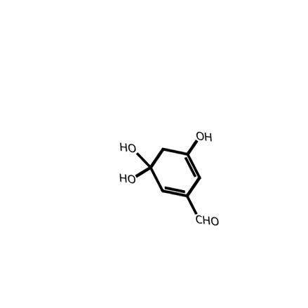 O=CC1=CC(O)(O)CC(O)=C1